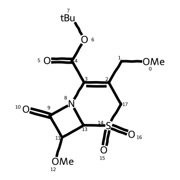 COCC1=C(C(=O)OC(C)(C)C)N2C(=O)C(OC)C2S(=O)(=O)C1